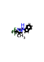 Cc1[c]n(NC2CCc3ccccc32)nc1C(F)(F)F